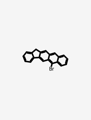 Brc1c2ccccc2cc2cc3c(cc12)-c1ccccc1C3